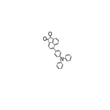 O=C1C(=O)c2ccc(-c3ccc(N(c4ccccc4)c4ccccc4)cc3)c3cccc1c23